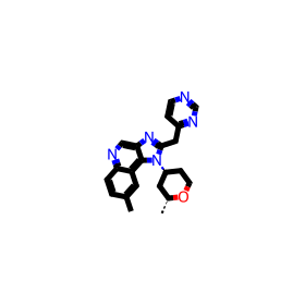 Cc1ccc2ncc3nc(Cc4ccncn4)n([C@@H]4CCO[C@H](C)C4)c3c2c1